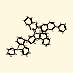 c1ccc(-c2ccc3cc(-c4nc5ccccc5nc4-n4c5cc(-c6cccc7c6c6ccccc6n7-c6ccccc6)ccc5c5c6ccccc6ccc54)ccc3c2)cc1